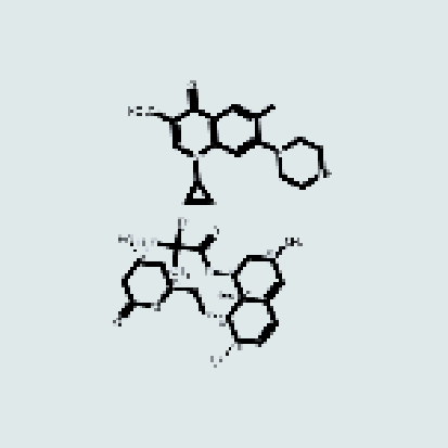 CCC(C)(C)C(=O)O[C@H]1C[C@@H](C)C=C2C=C[C@H](C)[C@H](CC[C@@H]3C[C@@H](O)CC(=O)O3)[C@H]21.O=C(O)c1cn(C2CC2)c2cc(N3CCNCC3)c(F)cc2c1=O